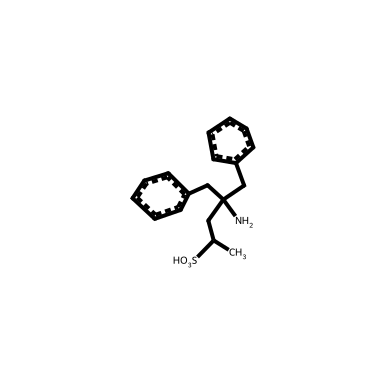 CC(CC(N)(Cc1ccccc1)Cc1ccccc1)S(=O)(=O)O